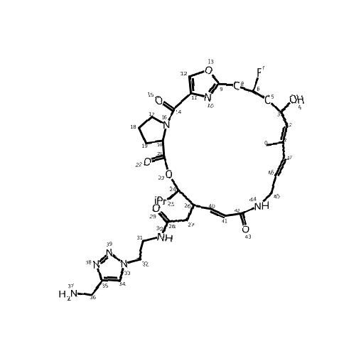 CC1=C\C(O)CC(F)Cc2nc(co2)C(=O)N2CCCC2C(=O)OC(C(C)C)C(CC(=O)NCCn2cc(CN)nn2)/C=C/C(=O)NC\C=C\1